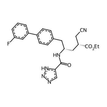 CCOC(=O)[C@@H](CC#N)C[C@@H](Cc1ccc(-c2cccc(F)c2)cc1)NC(=O)c1cnn[nH]1